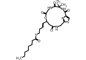 CCCCCCCC(=O)SCC/C=C/C1CC(=O)NCc2nc(cs2)C(=O)NC(C)(C)C(=O)NCC(=O)O1